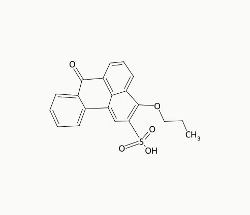 CCCOc1c(S(=O)(=O)O)cc2c3c(cccc13)C(=O)c1ccccc1-2